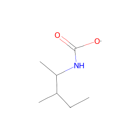 CCC(C)C(C)NC([O])=O